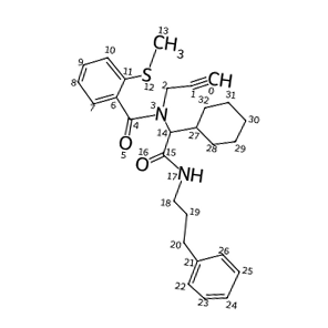 C#CCN(C(=O)c1ccccc1SC)C(C(=O)NCCCc1ccccc1)C1CCCCC1